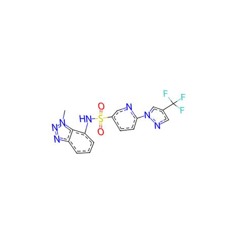 Cn1nnc2cccc(NS(=O)(=O)c3ccc(-n4cc(C(F)(F)F)cn4)nc3)c21